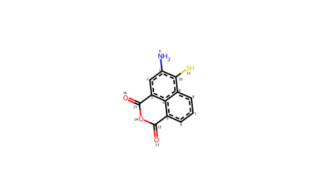 Nc1cc2c3c(cccc3c1S)C(=O)OC2=O